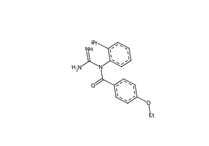 CCOc1ccc(C(=O)N(C(=N)N)c2ccccc2C(C)C)cc1